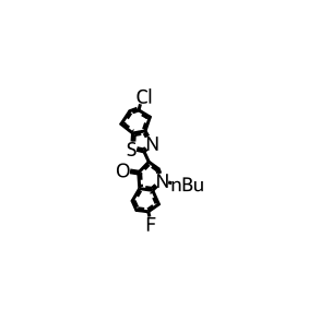 CCCCn1cc(-c2nc3cc(Cl)ccc3s2)c(=O)c2ccc(F)cc21